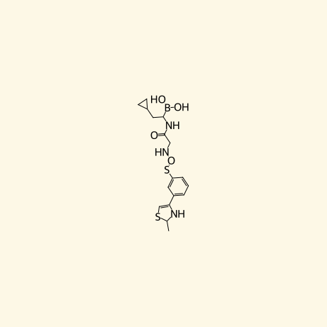 CC1NC(c2cccc(SONCC(=O)NC(CC3CC3)B(O)O)c2)=CS1